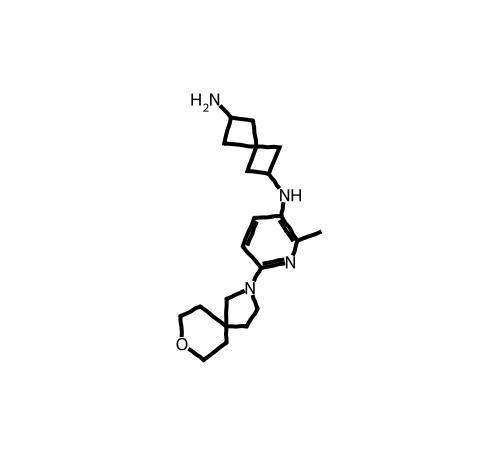 Cc1nc(N2CCC3(CCOCC3)C2)ccc1NC1CC2(CC(N)C2)C1